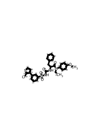 CCN(C(=O)C(Cc1ccccc1)NC(=O)NS(=O)(=O)c1cccc(-c2ccsc2Cl)c1)c1ccc(OC)cc1